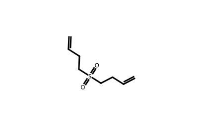 C=CCCS(=O)(=O)CCC=C